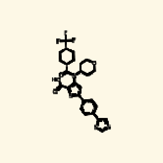 O=C(O)c1sc(-c2ccc(-c3cscn3)cc2)cc1N(C(=O)[C@H]1CC[C@H](C(F)(F)F)CC1)C1CCOCC1